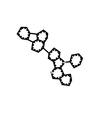 c1ccc(-n2c3ccc(-c4ccc5c6c(cccc46)-c4ccccc4-5)cc3c3ncc4ccccc4c32)cc1